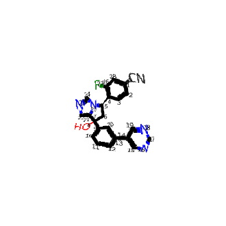 N#Cc1ccc([C@H]2C[C@](O)(c3cccc(-c4cncnc4)c3)c3cncn32)c(F)c1